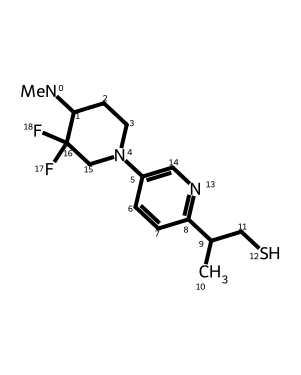 CNC1CCN(c2ccc(C(C)CS)nc2)CC1(F)F